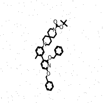 Cc1ccc(N2CCC3(CCN(C(=O)OC(C)(C)C)CC3)CC2)cc1-c1ccc(OCc2ccccc2)nc1OCc1ccccc1